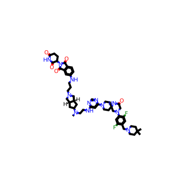 CN(CCNc1cc(N2CCC3(CC2)CN(c2cc(F)c(CN4CCC(C)(C)CC4)cc2F)CC(=O)N3)ncn1)C1C[C@@H]2CN(CCCNc3ccc4c(c3)C(=O)N(C3CCC(=O)NC3=O)C4=O)C[C@@H]2C1